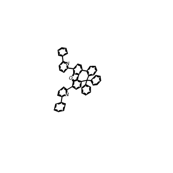 c1ccc(-c2cccc(-c3ccc4c5c3oc3c(-c6cccc(-c7ccccc7)n6)ccc(c35)C(c3ccccc3)(c3ccccc3)c3ccccc3-4)n2)cc1